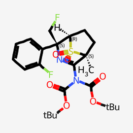 CC(C)(C)OC(=O)N(C(=O)OC(C)(C)C)C1=N[C@](CF)(c2ccccc2F)[C@H]2CC[C@]1(C)S2(=O)=O